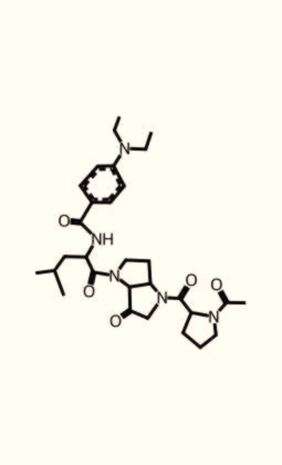 CCN(CC)c1ccc(C(=O)NC(CC(C)C)C(=O)N2CCC3C2C(=O)CN3C(=O)C2CCCN2C(C)=O)cc1